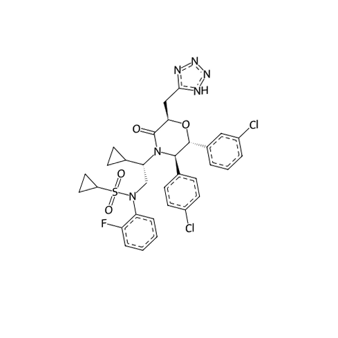 O=C1[C@@H](Cc2nnn[nH]2)O[C@H](c2cccc(Cl)c2)[C@@H](c2ccc(Cl)cc2)N1[C@H](CN(c1ccccc1F)S(=O)(=O)C1CC1)C1CC1